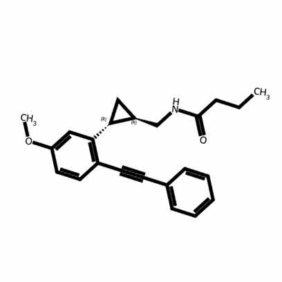 CCCC(=O)NC[C@@H]1C[C@H]1c1cc(OC)ccc1C#Cc1ccccc1